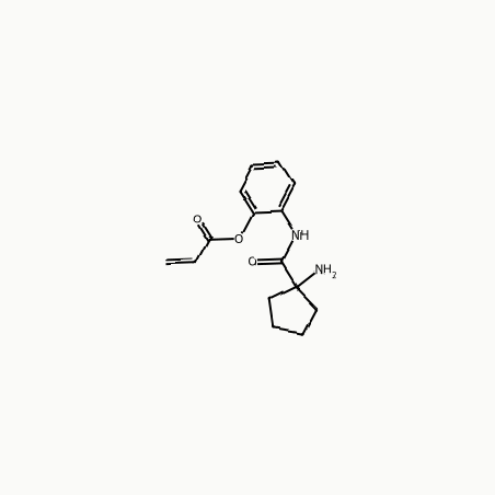 C=CC(=O)Oc1ccccc1NC(=O)C1(N)CCCC1